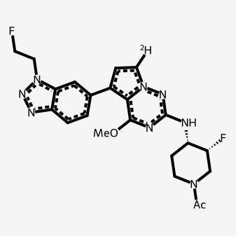 [2H]c1cc(-c2ccc3nnn(CCF)c3c2)c2c(OC)nc(N[C@H]3CCN(C(C)=O)C[C@H]3F)nn12